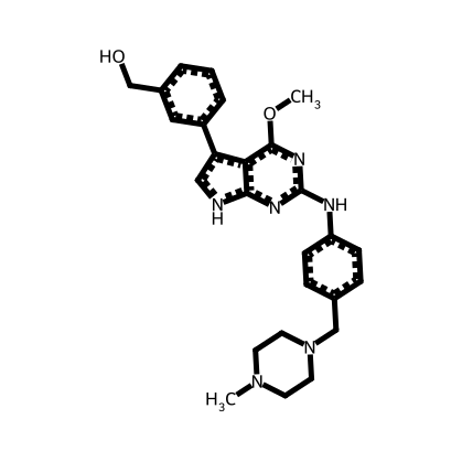 COc1nc(Nc2ccc(CN3CCN(C)CC3)cc2)nc2[nH]cc(-c3cccc(CO)c3)c12